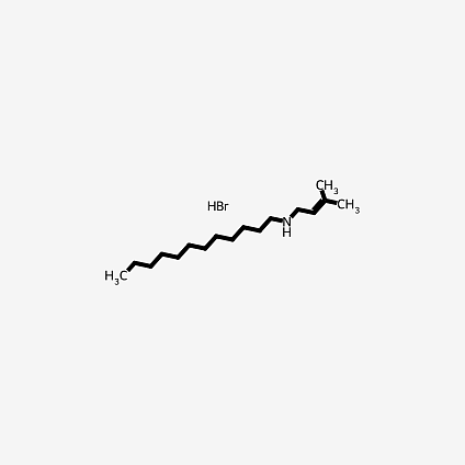 Br.CCCCCCCCCCCCNCC=C(C)C